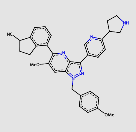 COc1ccc(Cn2nc(-c3ccc(C4CCNC4)nc3)c3nc(-c4cccc5c4CCC5C#N)c(OC)cc32)cc1